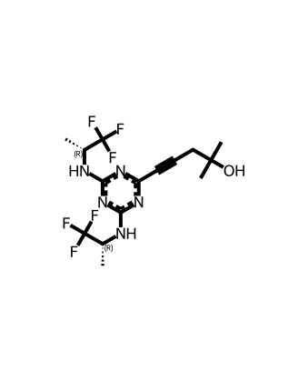 C[C@@H](Nc1nc(C#CCC(C)(C)O)nc(N[C@H](C)C(F)(F)F)n1)C(F)(F)F